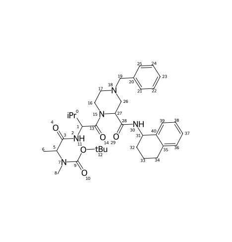 CC(C)C(NC(=O)C(C)N(C)C(=O)OC(C)(C)C)C(=O)N1CCN(Cc2ccccc2)CC1C(=O)NC1CCCc2ccccc21